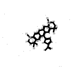 C=C(C)C1=CC=C(C2=c3cc4c(cc3Cc3cc5c(cc32)C(C)(C)CCN5C)=[N+](C)CCC4(C)C)C1